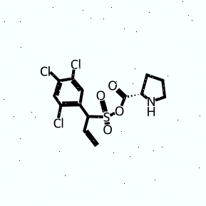 C=CC(c1cc(Cl)c(Cl)cc1Cl)S(=O)(=O)OC(=O)[C@@H]1CCCN1